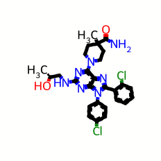 C[C@H](O)CNc1nc(N2CCC(C)(C(N)=O)CC2)c2nc(-c3ccccc3Cl)n(-c3ccc(Cl)cc3)c2n1